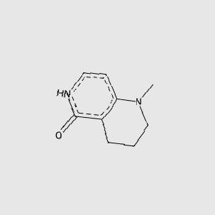 CN1CCCc2c1cc[nH]c2=O